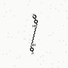 CSc1ccc(CNCCCCCCCCCCCCNCc2ccc(-c3ccncc3)cc2)cc1